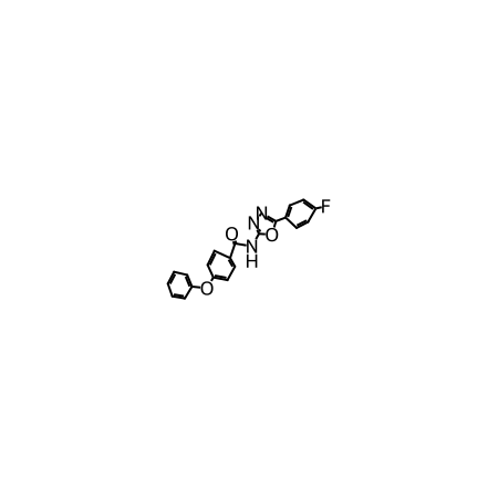 O=C(Nc1nnc(-c2ccc(F)cc2)o1)c1ccc(Oc2ccccc2)cc1